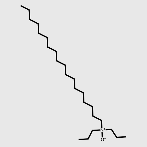 CCCCCCCCCCCCCCCCCC[N+]([O-])(CCC)CCC